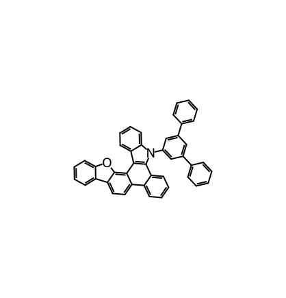 c1ccc(-c2cc(-c3ccccc3)cc(-n3c4ccccc4c4c5c(ccc6c7ccccc7oc65)c5ccccc5c43)c2)cc1